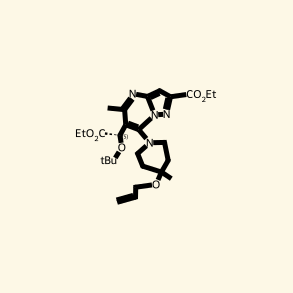 C=CCOC1(C)CCN(c2c([C@H](OC(C)(C)C)C(=O)OCC)c(C)nc3cc(C(=O)OCC)nn23)CC1